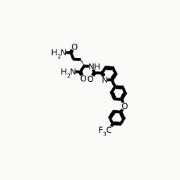 NC(=O)CC[C@H](NC(=O)c1cccc(-c2ccc(Oc3ccc(C(F)(F)F)cc3)cc2)n1)C(N)=O